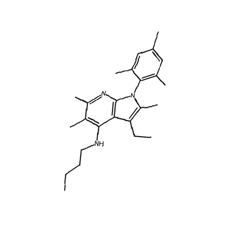 CCCCNc1c(C)c(C)nc2c1c(CC)c(C)n2-c1c(C)cc(C)cc1C